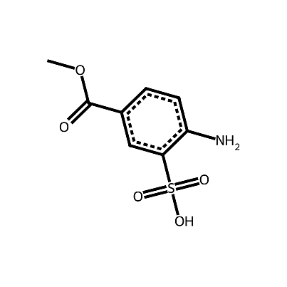 COC(=O)c1ccc(N)c(S(=O)(=O)O)c1